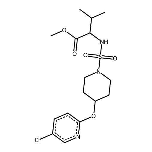 COC(=O)C(NS(=O)(=O)N1CCC(Oc2ccc(Cl)cn2)CC1)C(C)C